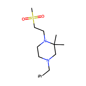 CC(C)CN1CCN(CCS(C)(=O)=O)C(C)(C)C1